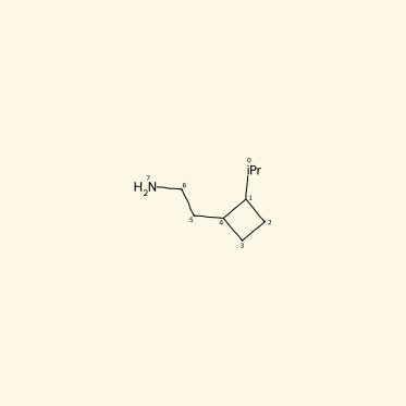 CC(C)C1CCC1CCN